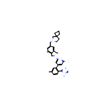 Cc1ccc(-c2nncn2C)c(-c2cc(Cl)nc(N3Cc4c(cc(CN5CCC6(CCC6)C5)cc4C(F)(F)F)C3=O)c2)c1